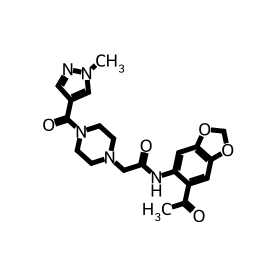 CC(=O)c1cc2c(cc1NC(=O)CN1CCN(C(=O)c3cnn(C)c3)CC1)OCO2